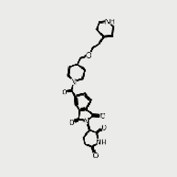 O=C1CCC(N2C(=O)c3ccc(C(=O)N4CCC(COCCC5CCNCC5)CC4)cc3C2=O)C(=O)N1